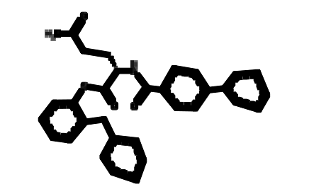 NC(=O)CC[C@H](NC(=O)c1ccc(-c2ccccc2)cc1)C(=O)Oc1ccccc1Cc1ccccc1